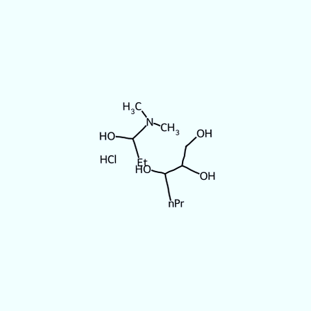 CCC(O)N(C)C.CCCC(O)C(O)CO.Cl